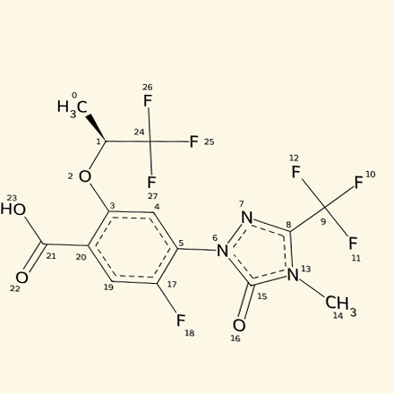 C[C@H](Oc1cc(-n2nc(C(F)(F)F)n(C)c2=O)c(F)cc1C(=O)O)C(F)(F)F